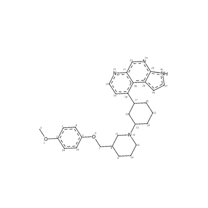 COc1ccc(OCC2CCCN(C3[CH]CCC(c4ccnc5cnc6[nH]ccc6c45)C3)C2)cc1